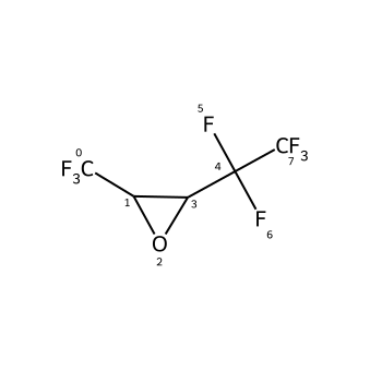 FC(F)(F)C1OC1C(F)(F)C(F)(F)F